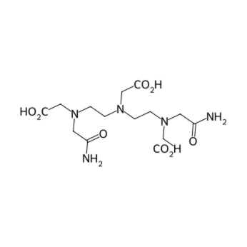 NC(=O)CN(CCN(CCN(CC(N)=O)CC(=O)O)CC(=O)O)CC(=O)O